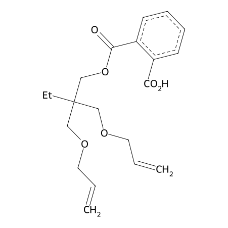 C=CCOCC(CC)(COCC=C)COC(=O)c1ccccc1C(=O)O